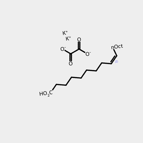 CCCCCCCC/C=C\CCCCCCCC(=O)O.O=C([O-])C(=O)[O-].[K+].[K+]